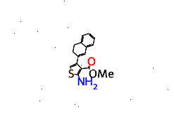 COC(=O)c1c(C2=Cc3ccccc3CC2)csc1N